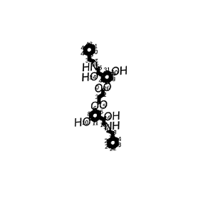 O=C(/C=C/C(=O)Oc1cc(O)cc([C@H](O)CNCCc2ccccc2)c1)Oc1cc(O)cc([C@H](O)CNCCc2ccccc2)c1